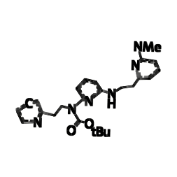 CNc1cccc(CCNc2cccc(N(CCc3ccccn3)C(=O)OC(C)(C)C)n2)n1